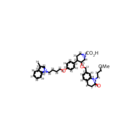 COCCCN1C(=O)CCc2ccc(COC3CN(C(=O)O)CCC3c3ccc(OCCCCn4cc(C)c5ccccc54)cc3)cc21